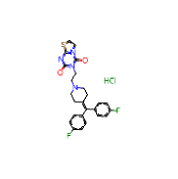 Cl.O=c1nc2sccn2c(=O)n1CCN1CCC(=C(c2ccc(F)cc2)c2ccc(F)cc2)CC1